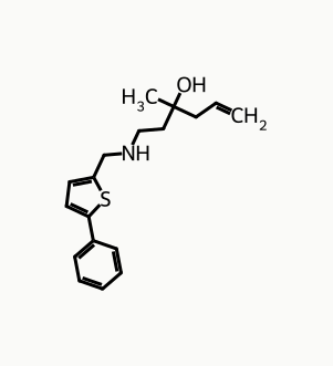 C=CCC(C)(O)CCNCc1ccc(-c2ccccc2)s1